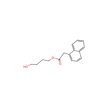 O=C(Cc1cccc2ccccc12)OCCCCO